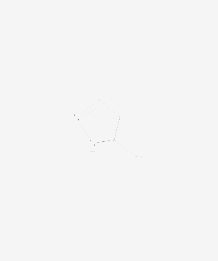 [CH2]CC1CC=NN1